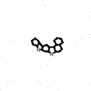 c1ccc2c(c1)=Nc1cc3c(cc1=2)-c1c(ccc2ccccc12)N=3